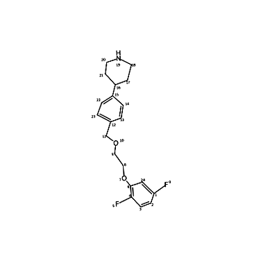 Fc1ccc(F)c(OCCOCc2ccc(C3CCNCC3)cc2)c1